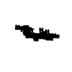 CC[C@H](C)C(NC(=O)OC)C(=O)N1CCC[C@H]1c1nc2ccc(-c3ccc(-c4ccc(-c5cnc([C@@H]6CCCN6C(=O)[C@@H](NC(=O)OC)C(C)C)[nH]5)cc4)c4c3C3CCC4C3)cc2[nH]1